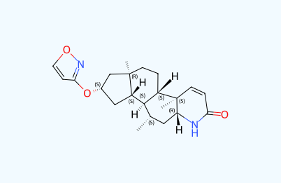 C[C@H]1C[C@H]2NC(=O)C=C[C@]2(C)[C@H]2CC[C@]3(C)C[C@@H](Oc4ccon4)C[C@H]3[C@H]12